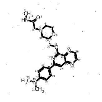 CNC(=O)CN1CCO[C@H](COc2nc(-c3ccc(N(C)C)cc3)cc3nccnc23)C1